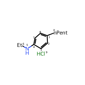 CCCCCc1ccc(NCC)cc1.Cl